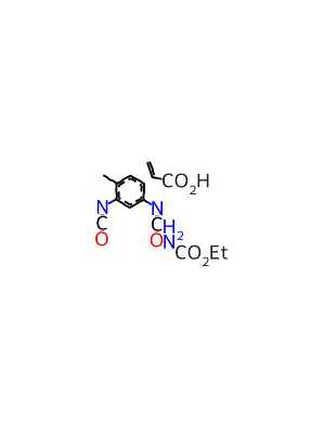 C=CC(=O)O.CCOC(N)=O.Cc1ccc(N=C=O)cc1N=C=O